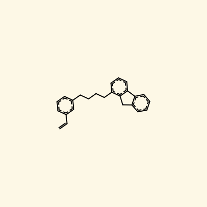 C=Cc1cccc(CCCCc2cccc3c2Cc2ccccc2-3)c1